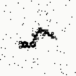 NC(=O)CCC(=O)Nc1nnc(SCC(=O)NC[C@H]2CN(Cc3ccc(Cl)c(Cl)c3)CCO2)s1